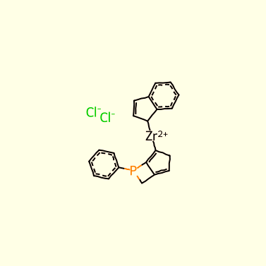 C1=C[CH]([Zr+2][C]2=C3C(=CC2)CP3c2ccccc2)c2ccccc21.[Cl-].[Cl-]